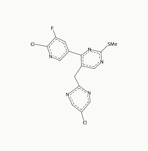 CSc1ncc(Cc2ncc(Cl)cn2)c(-c2cnc(Cl)c(F)c2)n1